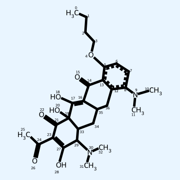 CCCCOc1ccc(N(C)C)c2c1C(=O)C1=C(O)C3(O)C(=O)C(C(C)=O)=C(O)C(N(C)C)C3CC1C2